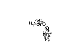 Cn1nc(C(F)(F)C(F)(F)F)c(C(F)(F)F)c1-c1cc(-c2ccc(Cl)c(C(=O)NC3(C(N)=O)CC3)c2)on1